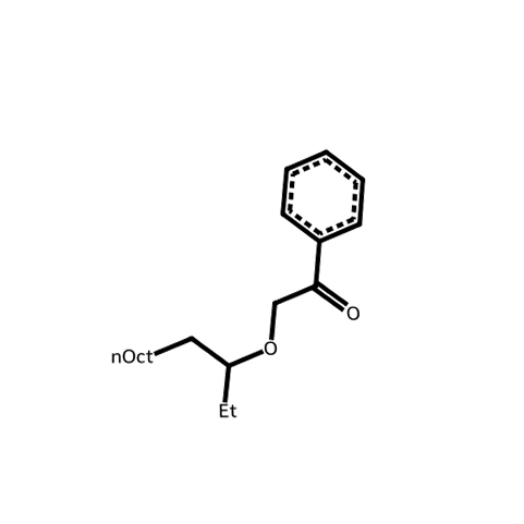 CCCCCCCCCC(CC)OCC(=O)c1ccccc1